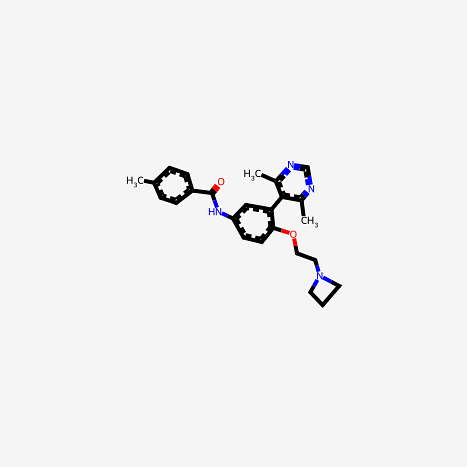 Cc1ccc(C(=O)Nc2ccc(OCCN3CCC3)c(-c3c(C)ncnc3C)c2)cc1